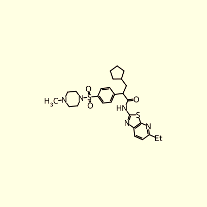 CCc1ccc2nc(NC(=O)C(CC3CCCC3)c3ccc(S(=O)(=O)N4CCN(C)CC4)cc3)sc2n1